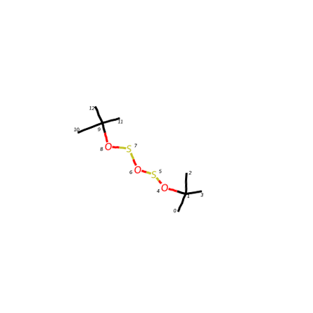 CC(C)(C)OSOSOC(C)(C)C